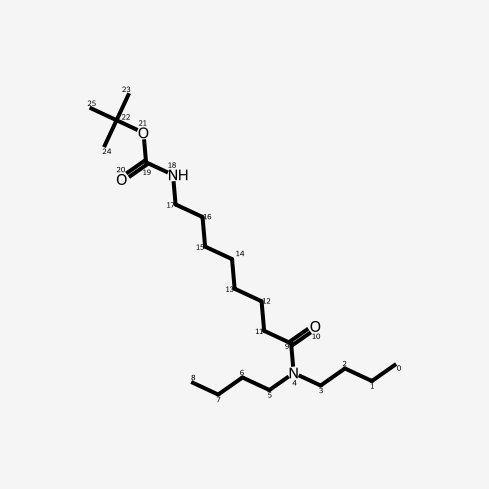 CCCCN(CCCC)C(=O)CCCCCCCNC(=O)OC(C)(C)C